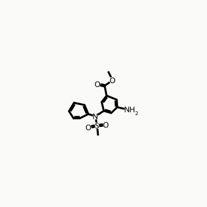 COC(=O)c1cc(N)cc(N(c2ccccc2)S(C)(=O)=O)c1